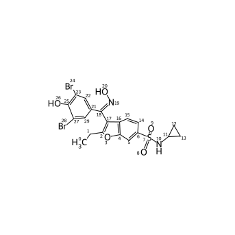 CCc1oc2cc(S(=O)(=O)NC3CC3)ccc2c1C(=NO)c1cc(Br)c(O)c(Br)c1